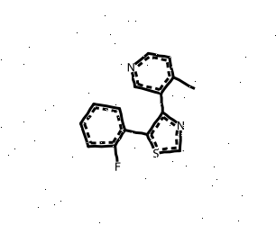 Cc1ccncc1-c1n[c]sc1-c1ccccc1F